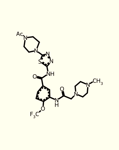 CC(=O)N1CCN(c2nnc(NC(=O)c3ccc(OC(F)(F)F)c(NC(=O)CN4CCN(C)CC4)c3)s2)CC1